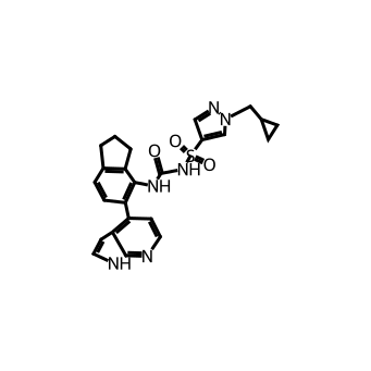 O=C(Nc1c(-c2ccnc3[nH]ccc23)ccc2c1CCC2)NS(=O)(=O)c1cnn(CC2CC2)c1